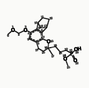 COCOc1cc2c(c3c1C1CCC3C1)OC(C)(CCCP(=O)(O)OC)CC2